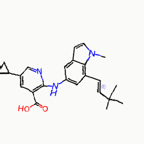 Cn1ccc2cc(Nc3ncc(C4CC4)cc3C(=O)O)cc(/C=C/C(C)(C)C)c21